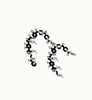 Cc1c(-c2ccc(-c3cnc(C(=O)Nc4ccc(C(=O)N5CCN(C(=O)C6CCN(C(=O)OC(C)(C)C)CC6)CC5)c(Cl)c4)n3C)c(F)c2F)cnn1CCN.Cc1c(-c2ccc(-c3cnc(C(=O)Nc4ccc(C(=O)N5CCN(C(=O)C6CCN(C(=O)OC(C)(C)C)CC6)CC5)c(Cl)c4)n3C)c(F)c2F)cnn1CCNC(=O)c1ccccn1